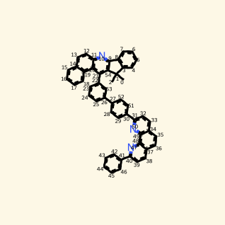 CC1(C)c2ccccc2-c2nc3ccc4ccccc4c3c(-c3cccc(-c4ccc(-c5ccc6ccc7ccc(-c8ccccc8)nc7c6n5)cc4)c3)c21